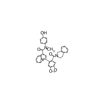 CN(C(=O)c1cc(-c2cc3c(cc2C(=O)N2CCc4ccccc4C2)OCO3)n2ccccc12)c1ccc(O)cc1